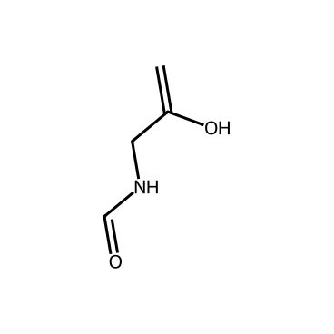 C=C(O)CNC=O